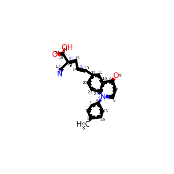 Cc1ccc(-n2ccc(=O)c3cc(/C=C/C=C(\C#N)C(=O)O)ccc32)cc1